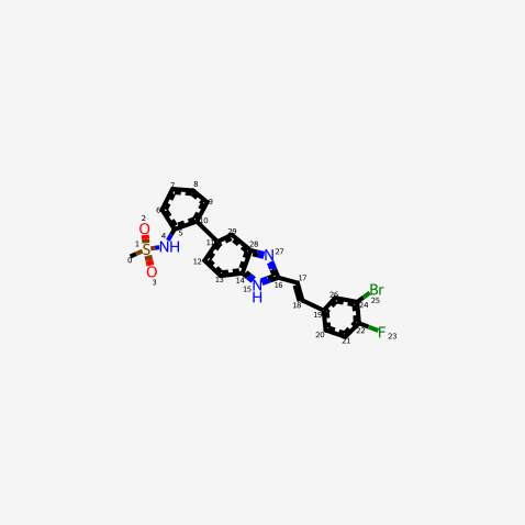 CS(=O)(=O)Nc1ccccc1-c1ccc2[nH]c(C=Cc3ccc(F)c(Br)c3)nc2c1